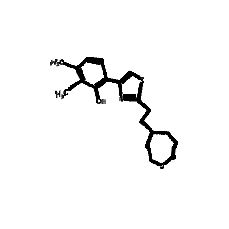 Cc1ccc(-c2csc(CCC3CCCOCC3)n2)c(O)c1C